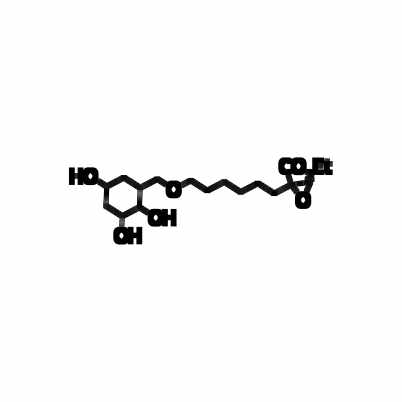 CCOC(=O)C1(CCCCCCOCC2CC(O)CC(O)C2O)CO1